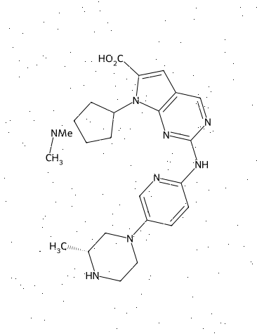 CNC.C[C@@H]1CN(c2ccc(Nc3ncc4cc(C(=O)O)n(C5CCCC5)c4n3)nc2)CCN1